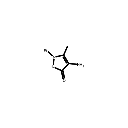 CCN1[N]C(=O)C(N)=C1C